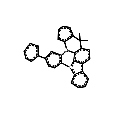 CC1(C)c2ccccc2B2c3cc(-c4ccccc4)ccc3-n3c4ccccc4c4ccc1c2c43